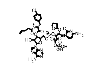 C=CCCC(=O)N(C)[C@H](Cc1ccc(Cl)cc1)C(=O)OC1C(COP(=O)(O)O[C@H]2[C@@H](OC3CCCO3)[C@H](n3ccc(N)nc3=O)O[C@@H]2COP(=O)(O)O)OC(n2cnc3c(N)ncnc32)C1O